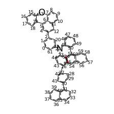 c1cc(-c2cc3c4c(cccc4c2)Oc2ccccc2-3)cc(N(c2ccc(-c3ccc(-c4cccc5ccccc45)cc3)cc2)c2ccccc2-c2cccc3ccccc23)c1